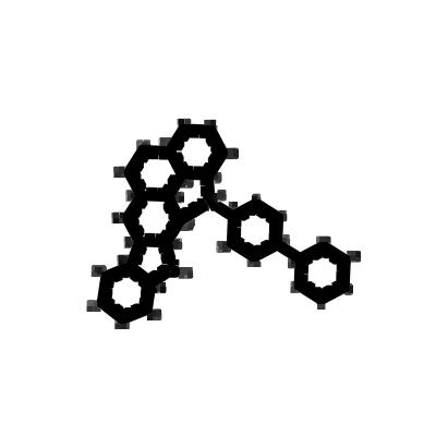 c1ccc(-c2ccc(-n3c4cccc5ccc6cc7c8ccccc8sc7c3c6c54)cc2)cc1